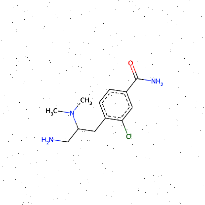 CN(C)C(CN)Cc1ccc(C(N)=O)cc1Cl